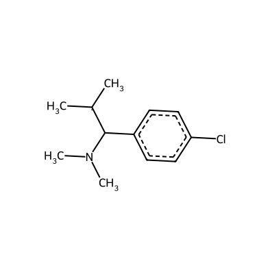 C[C](C)C(c1ccc(Cl)cc1)N(C)C